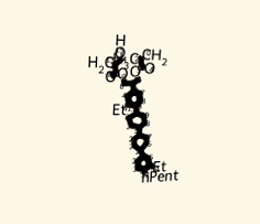 C=C(C)C(=O)OCC(COC(=O)C(=C)CO)c1ccc(C2CCC(C3CCC(c4ccc(CCCCC)c(CC)c4)CC3)CC2)c(CC)c1